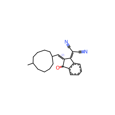 CC1CCCCC(/C=C2\C(=O)c3ccccc3C2=C(C#N)C#N)CCCC1